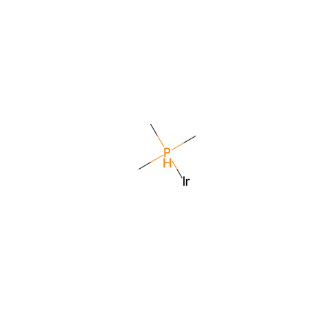 C[PH](C)(C)[Ir]